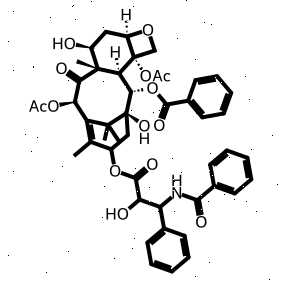 CC(=O)O[C@H]1C(=O)[C@@]2(C)[C@H]([C@H](OC(=O)c3ccccc3)[C@]3(O)CC(OC(=O)C(O)C(NC(=O)c4ccccc4)c4ccccc4)C(C)=C1C3(C)C)[C@]1(OC(C)=O)CO[C@@H]1C[C@@H]2O